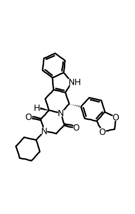 O=C1[C@@H]2Cc3c([nH]c4ccccc34)[C@H](c3ccc4c(c3)OCO4)N2C(=O)CN1C1CCCCC1